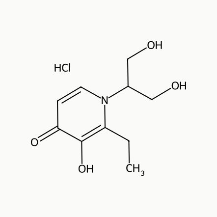 CCc1c(O)c(=O)ccn1C(CO)CO.Cl